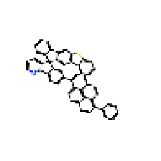 c1ccc(-c2ccc3ccc4c(-c5ccc6c(c5)C5(c7ccccc7-c7cc8sc9ccccc9c8cc75)c5cccnc5-6)ccc5ccc2c3c54)cc1